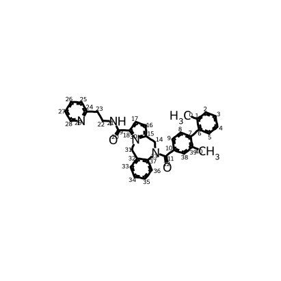 Cc1ccccc1-c1ccc(C(=O)N2Cc3ccc(C(=O)NCCc4ccccn4)n3Cc3ccccc32)cc1C